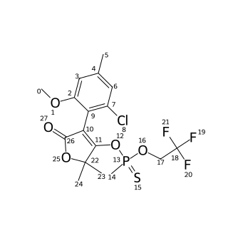 COc1cc(C)cc(Cl)c1C1=C(OP(C)(=S)OCC(F)(F)F)C(C)(C)OC1=O